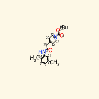 Cc1ccc(C)c(NC(=O)CC2CCN(C(=O)OC(C)(C)C)CC2)c1